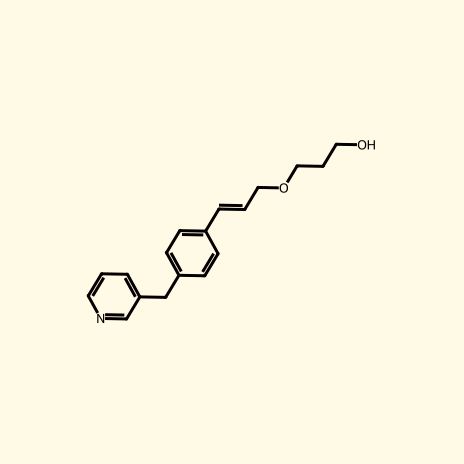 OCCCOCC=Cc1ccc(Cc2cccnc2)cc1